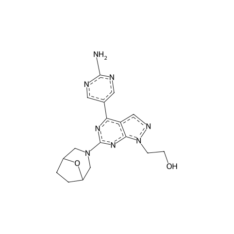 Nc1ncc(-c2nc(N3CC4CCC(C3)O4)nc3c2cnn3CCO)cn1